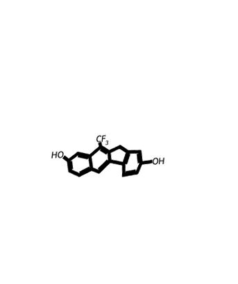 Oc1ccc2c(c1)Cc1c-2cc2ccc(O)cc2c1C(F)(F)F